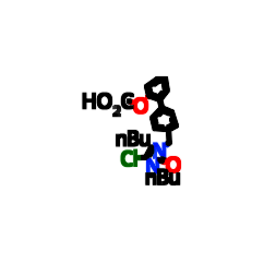 CCCCc1c(Cl)n(CCCC)c(=O)n1Cc1ccc(-c2ccccc2OC(=O)O)cc1